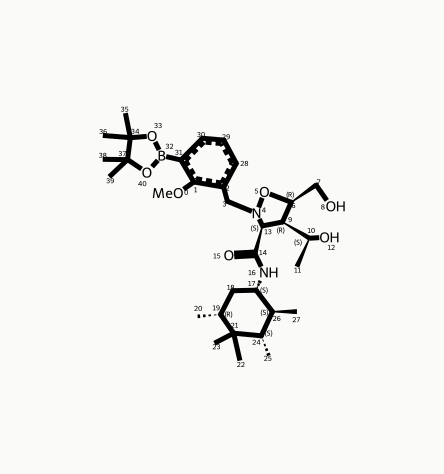 COc1c(CN2O[C@@H](CO)[C@@H]([C@H](C)O)[C@H]2C(=O)N[C@H]2C[C@@H](C)C(C)(C)[C@@H](C)[C@@H]2C)cccc1B1OC(C)(C)C(C)(C)O1